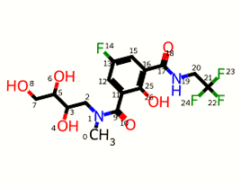 CN(CC(O)C(O)CO)C(=O)c1cc(F)cc(C(=O)NCC(F)(F)F)c1O